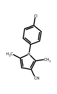 Cc1cc(C#N)c(C)n1-c1ccc(Cl)cc1